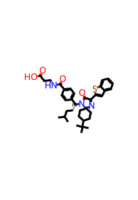 CC(C)CC[C@H](c1ccc(C(=O)NCCC(=O)O)cc1)N1C(=O)C(c2cc3ccccc3s2)=NC12CCC(C(C)(C)C)CC2